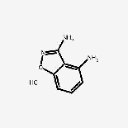 Cl.Nc1cccc2onc(N)c12